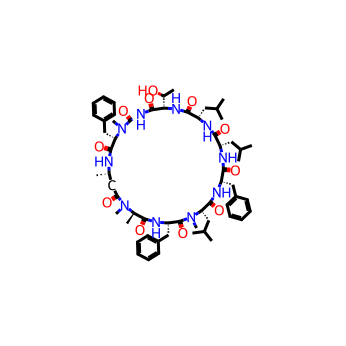 CC(C)C[C@@H]1NC(=O)[C@H](Cc2ccccc2)NC(=O)[C@H](CC(C)C)N(C)C(=O)[C@H](Cc2ccccc2)NC(=O)[C@@H](C)N(C)C(=O)C[C@H](C)NC(=O)[C@H](Cc2ccccc2)N(C)C(=O)NC(=O)[C@H](C(C)O)NC(=O)[C@H](CC(C)C)NC1=O